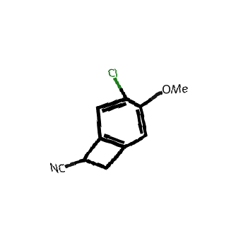 COc1cc2c(cc1Cl)C(C#N)C2